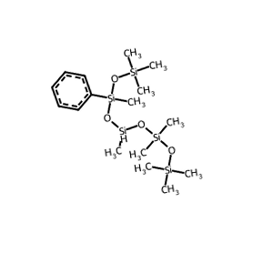 C[SiH](O[Si](C)(C)O[Si](C)(C)C)O[Si](C)(O[Si](C)(C)C)c1ccccc1